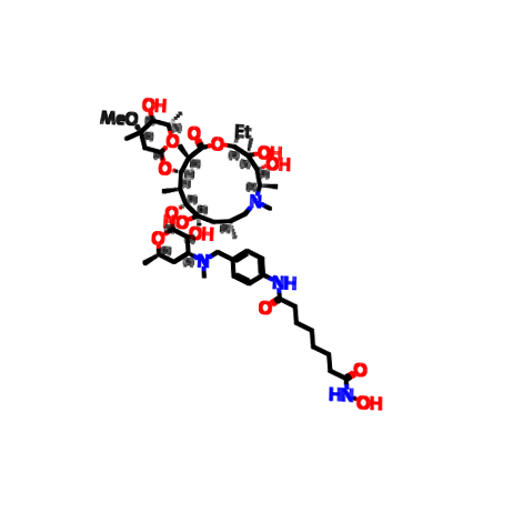 CC[C@H]1OC(=O)[C@H](C)[C@@H](O[C@H]2C[C@@](C)(OC)[C@@H](O)[C@H](C)O2)[C@H](C)[C@@H](O[C@@H]2O[C@H](C)C[C@H](N(C)Cc3ccc(NC(=O)CCCCCCC(=O)NO)cc3)[C@@H]2O)[C@](C)(O)C[C@@H](C)CN(C)[C@H](C)[C@@H](O)[C@]1(C)O